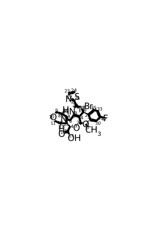 COC(=O)C1=C(CN2[C@H]3COC[C@@H]2[C@H](CC(=O)O)C3)NC(c2nccs2)=N[C@H]1c1ccc(F)cc1Br